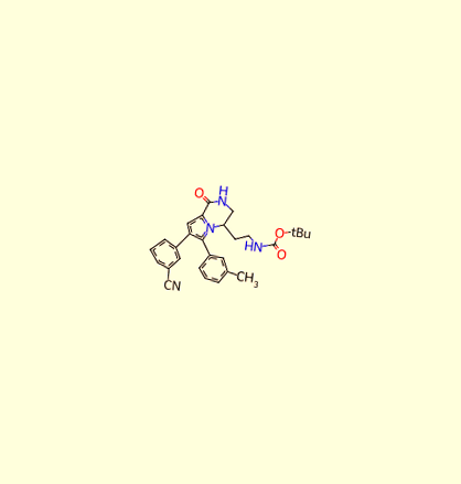 Cc1cccc(-c2c(-c3cccc(C#N)c3)cc3n2C(CCNC(=O)OC(C)(C)C)CNC3=O)c1